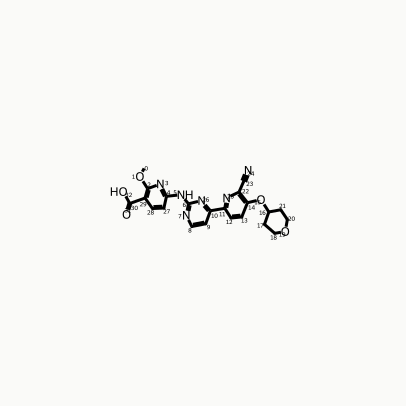 COc1nc(Nc2nccc(-c3ccc(OC4CCOCC4)c(C#N)n3)n2)ccc1C(=O)O